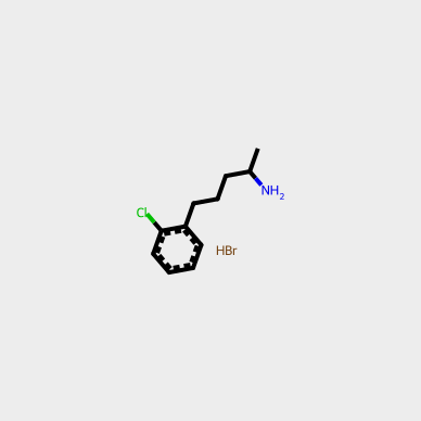 Br.CC(N)CCCc1ccccc1Cl